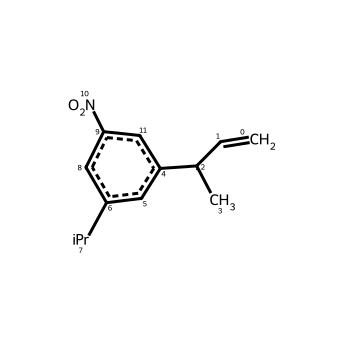 C=C[C](C)c1cc(C(C)C)cc([N+](=O)[O-])c1